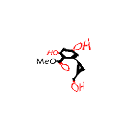 COC(=O)c1c(O)cc(O)cc1[C@H]1C[C@H]1CO